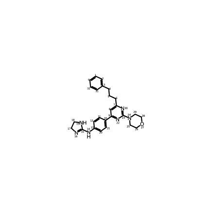 c1ccc(CCCc2cc(-c3ccc(NC4=NCCN4)cc3)nc(N3CCOCC3)n2)cc1